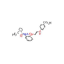 Cc1ccccc1C(=O)Nc1ccccc1OCCOc1ccc(C(=O)O)cc1